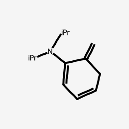 C=C1CC=CC=C1N(C(C)C)C(C)C